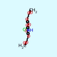 C=CC(=O)OCCCCCOc1ccc(C(=O)Nc2ccc(OC(=O)c3ccc(OCCCCCOC(=O)C=C)cc3)cc2Cl)cc1